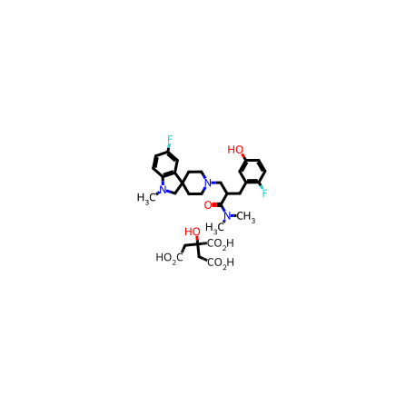 CN(C)C(=O)C(Cc1cc(O)ccc1F)CN1CCC2(CC1)CN(C)c1ccc(F)cc12.O=C(O)CC(O)(CC(=O)O)C(=O)O